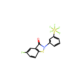 O=c1c2cc(F)ccc2sn1-c1cccc(S(F)(F)(F)(F)F)c1